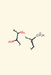 CC(O)C(C)O.CC=C(C)C(=O)O